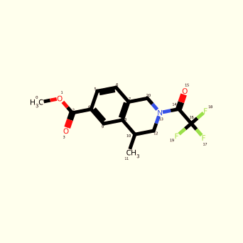 COC(=O)c1ccc2c(c1)C(C)CN(C(=O)C(F)(F)F)C2